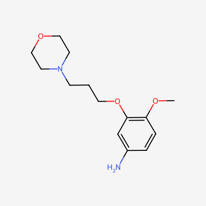 COc1ccc(N)cc1OCCCN1CCOCC1